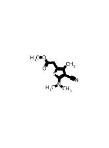 COC(=O)Cc1sc(N(C)C)c(C#N)c1C